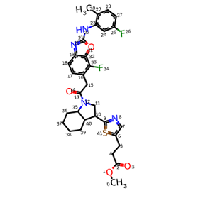 COC(=O)CCc1cnc(C2CN(C(=O)Cc3ccc4nc(Nc5cc(F)ccc5C)oc4c3F)C3CCCCC23)s1